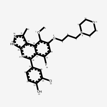 COc1c(OCCCN2CCOCC2)cc(F)c2c(-c3ccc(O)c(Cl)c3)nc3[nH]nc(C)c3c12